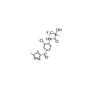 Cc1nnc([S+]([O-])c2ccc(NC(=O)[C@@](C)(O)C(F)(F)F)c(Cl)c2)s1